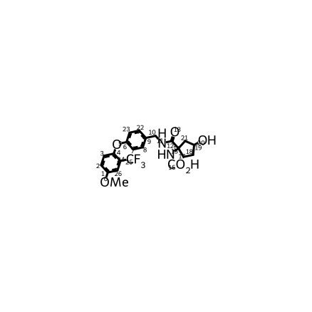 COc1ccc(Oc2ccc(CNC(=O)C3(NC(=O)O)CCC(O)C3)cc2)c(C(F)(F)F)c1